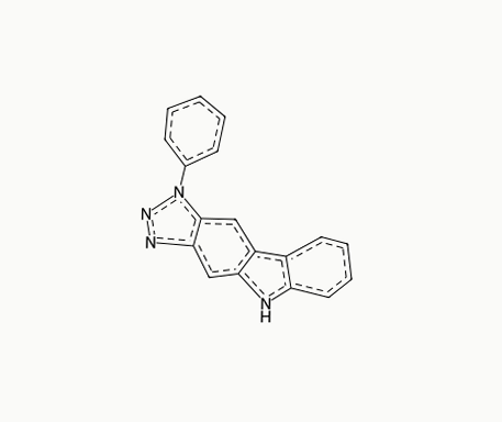 c1ccc(-n2nnc3cc4[nH]c5ccccc5c4cc32)cc1